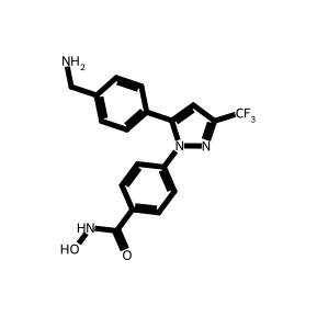 NCc1ccc(-c2cc(C(F)(F)F)nn2-c2ccc(C(=O)NO)cc2)cc1